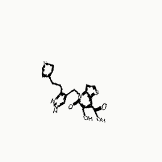 O=C(O)c1c(O)c(=O)n(Cc2c[nH]nc2CCc2ccncc2)c2ccsc12